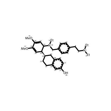 CCN(CC)CCc1ccc(CN(CC)C2C=C(OC)C(OC)=CC2[C@@H]2CCc3cc(O)ccc3C2)cc1